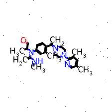 C=C(c1ccc(N(C(=C)NC)C(C)C=O)cc1C)N1CCN(c2ncc(C)cc2C)CC1